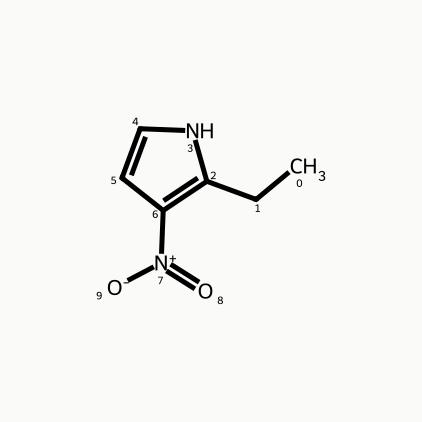 CCc1[nH]ccc1[N+](=O)[O-]